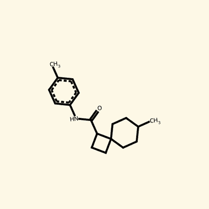 Cc1ccc(NC(=O)C2CCC23CCC(C)CC3)cc1